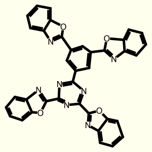 c1ccc2oc(-c3cc(-c4nc(-c5nc6ccccc6o5)nc(-c5nc6ccccc6o5)n4)cc(-c4nc5ccccc5o4)c3)nc2c1